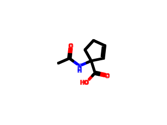 CC(=O)NC1(C(=O)O)C=CCC1